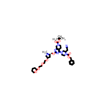 CN1C[C@H](OCCOCCOC2CCCCO2)C[C@H]1COc1nc2c(c(N3CCN(C(=O)OCc4ccccc4)C(CC#N)C3)n1)CCN(C(=O)OC(C)(C)C)C2